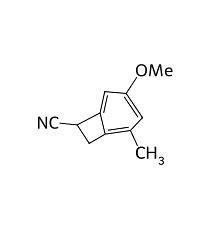 COc1cc(C)c2c(c1)C(C#N)C2